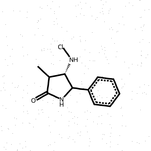 CC1C(=O)NC(c2ccccc2)[C@H]1NCl